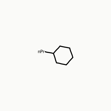 C[CH]CC1CCCCC1